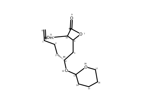 C=CCC[C@H](CC1OC(=O)C1CCCCCCCCCC)OC1CCCCO1